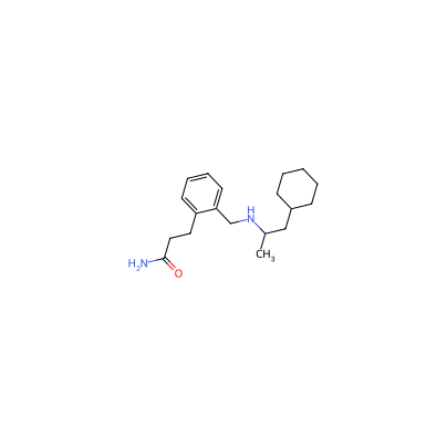 CC(CC1CCCCC1)NCc1ccccc1CCC(N)=O